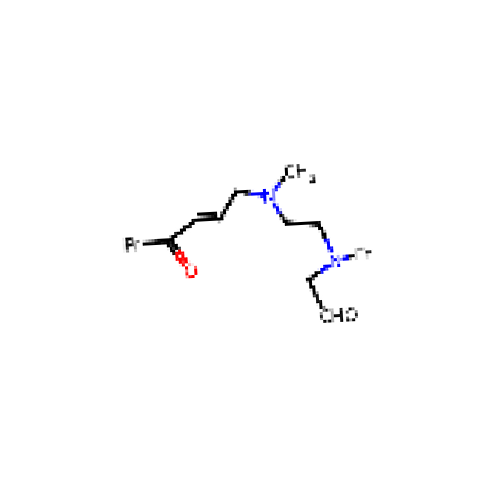 CCN(CC=O)CCN(C)C/C=C/C(=O)C(C)C